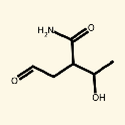 CC(O)C(CC=O)C(N)=O